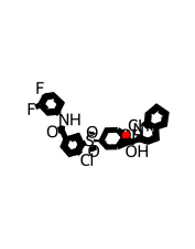 C[C@H]1CC2C[C@@H](S(=O)(=O)c3cc(C(=O)Nc4ccc(F)c(F)c4)ccc3Cl)CC1[C@@]2(O)C(O)c1ccc2ccccc2n1